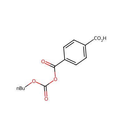 CCCCOC(=O)OC(=O)c1ccc(C(=O)O)cc1